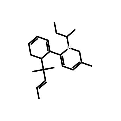 CC=CC(C)(C)C1CC=CC=C1C1=CC=C(C)CN1C(C)CC